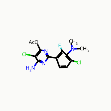 CC(=O)Oc1nc(-c2ccc(Cl)c(N(C)C)c2F)nc(N)c1Cl